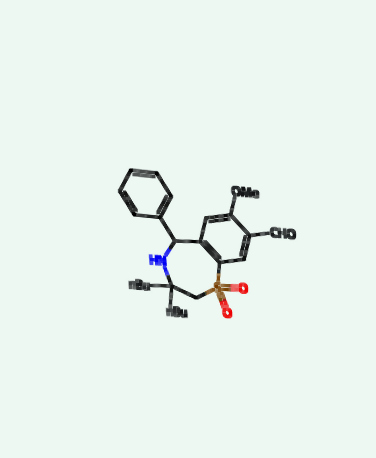 CCCCC1(CCCC)CS(=O)(=O)c2cc(C=O)c(OC)cc2C(c2ccccc2)N1